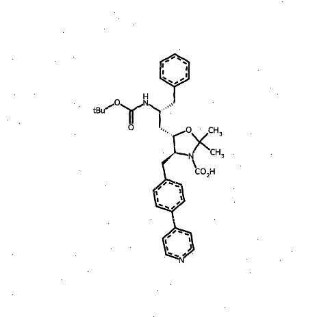 CC(C)(C)OC(=O)N[C@H](Cc1ccccc1)C[C@@H]1OC(C)(C)N(C(=O)O)[C@H]1Cc1ccc(-c2ccncc2)cc1